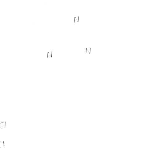 Cl.Clc1ccc2c(c1)N(CC1CC1)C1=NCCN1C2c1ccccc1